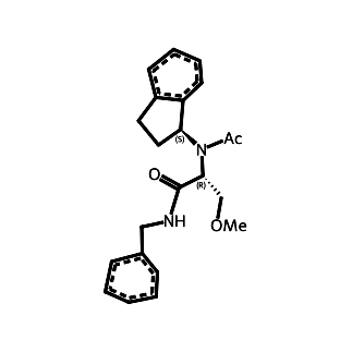 COC[C@H](C(=O)NCc1ccccc1)N(C(C)=O)[C@H]1CCc2ccccc21